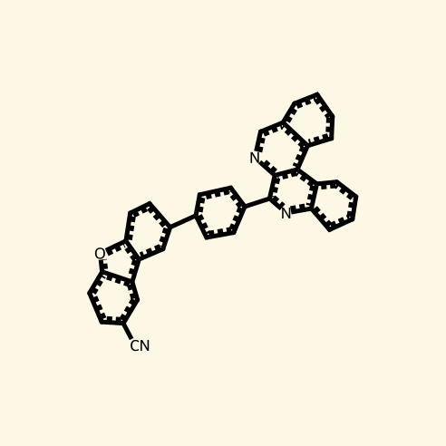 N#Cc1ccc2oc3ccc(-c4ccc(-c5nc6ccccc6c6c5ncc5ccccc56)cc4)cc3c2c1